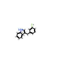 Fc1cccc(Cc2c[nH]c3ccccc23)c1